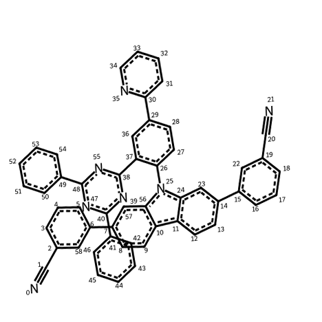 N#Cc1cccc(-c2ccc3c4ccc(-c5cccc(C#N)c5)cc4n(-c4ccc(-c5ccccn5)cc4-c4nc(-c5ccccc5)nc(-c5ccccc5)n4)c3c2)c1